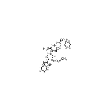 CC(=O)O.Cc1cn(C[C@H](Cc2ccccc2)C(=O)O)c(=O)nc1N1CCC(c2nc3ccccc3[nH]2)CC1